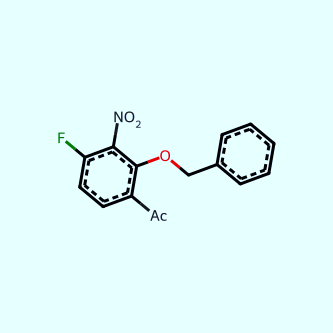 CC(=O)c1ccc(F)c([N+](=O)[O-])c1OCc1ccccc1